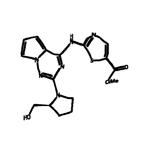 COC(=O)c1cnc(Nc2nc(N3CCC[C@H]3CO)nn3cccc23)s1